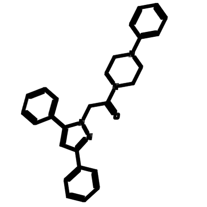 O=C(Cn1nc(-c2ccccc2)cc1-c1ccccc1)N1CCN(c2ccccc2)CC1